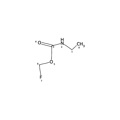 CCNC(=O)OCF